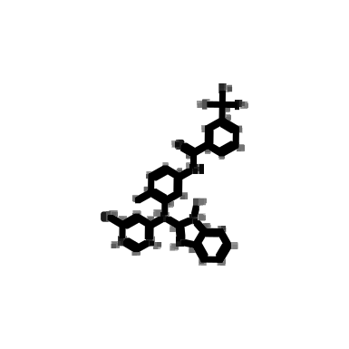 Cc1ccc(NC(=O)c2cccc(C(F)(F)F)c2)cc1N(c1cc(Cl)ncn1)c1nc2ccccc2n1F